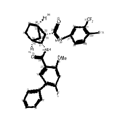 COc1cc(F)c(-c2ccccc2)cc1C(=O)N[C@@H]1[C@H]2CC[C@H](C2)[C@@H]1C(=O)Nc1ccc(F)c(C(F)(F)F)c1